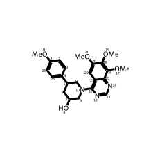 COc1ccc(C2CC(O)CN(c3ncnc4c(OC)c(OC)c(OC)cc34)C2)cc1